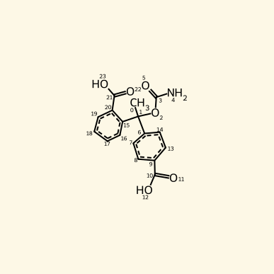 CC(OC(N)=O)(c1ccc(C(=O)O)cc1)c1ccccc1C(=O)O